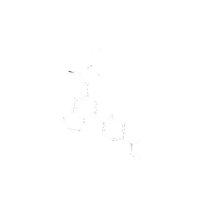 CO[C@@H]1CN(c2nc3c(c(-c4ccc(C(N)=O)cc4)n2)CCC3)[C@H]1C